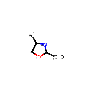 CC(C)C1COC(C=O)N1